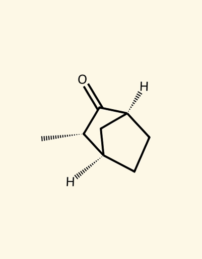 C[C@@H]1C(=O)[C@H]2CC[C@@H]1C2